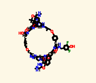 CN[C@@H](C)C(=O)N[C@H](C(=O)N1CC[C@@H]2[C@H]1C(=O)NC(=O)C[C@@H](Cc1ccc3ccccc3c1)C(=O)N[C@H](C(=O)NCc1cc(F)c(O)c(F)c1)Cc1ccc(cc1)OC/C(C)=C/N[C@@H]1CCN(C(=O)[C@@H](NC(=O)[C@H](C)NC)C(C)(C)C)[C@@H]1C(=O)N[C@@H](Cc1ccc3ccccc3c1)C(=O)N[C@H](C(=O)O)Cc1ccc(cc1)OCc1cn2nn1)C(C)(C)C